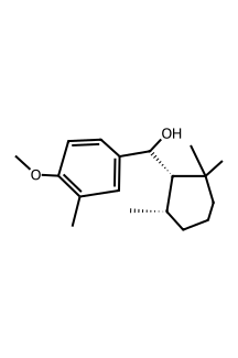 COc1ccc(C(O)[C@H]2[C@@H](C)CCCC2(C)C)cc1C